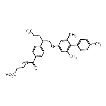 Cc1cc(OCC(CCC(F)(F)F)c2ccc(C(=O)NCCC(=O)O)cc2)cc(C)c1-c1ccc(C(F)(F)F)cc1